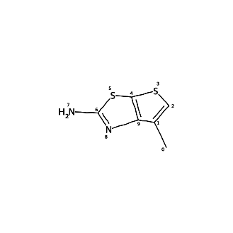 Cc1csc2sc(N)nc12